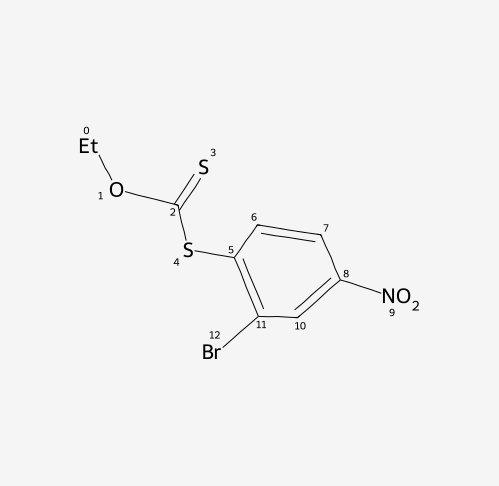 CCOC(=S)Sc1ccc([N+](=O)[O-])cc1Br